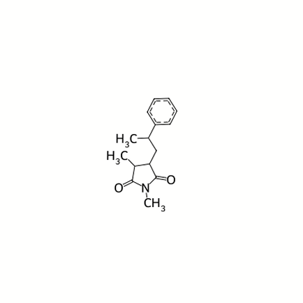 CC(CC1C(=O)N(C)C(=O)C1C)c1ccccc1